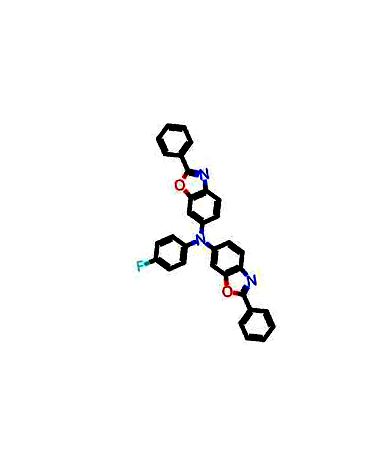 Fc1ccc(N(c2ccc3nc(-c4ccccc4)oc3c2)c2ccc3nc(-c4ccccc4)oc3c2)cc1